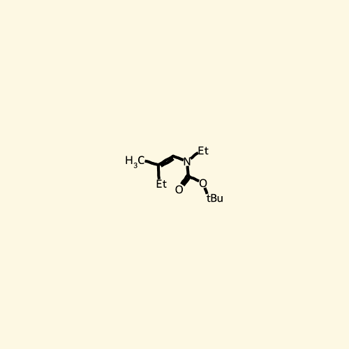 CC/C(C)=C\N(CC)C(=O)OC(C)(C)C